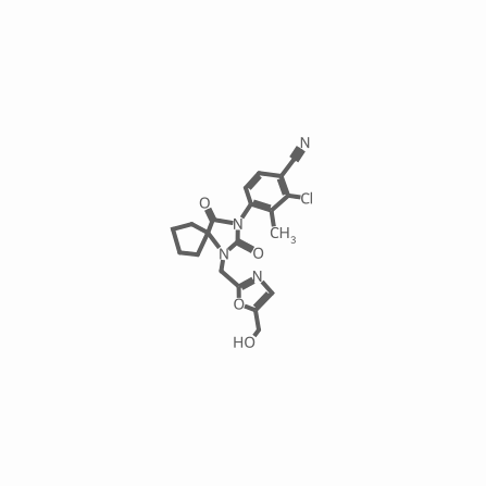 Cc1c(N2C(=O)N(Cc3ncc(CO)o3)C3(CCCC3)C2=O)ccc(C#N)c1Cl